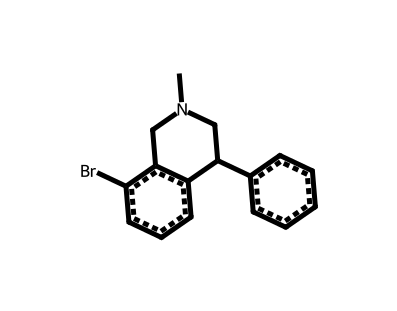 CN1Cc2c(Br)cccc2C(c2ccccc2)C1